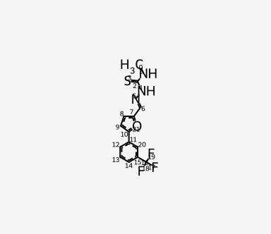 CNC(=S)N/N=C/c1ccc(-c2cccc(C(F)(F)F)c2)o1